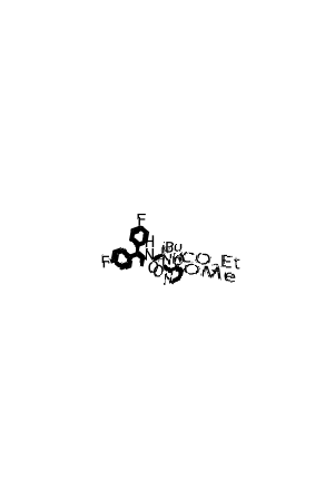 CCOC(=O)Oc1c(OC)ccnc1C(=O)N[C@H](C(=O)NC(C)=C(c1ccc(F)cc1)c1ccc(F)cc1)[C@@H](C)CC